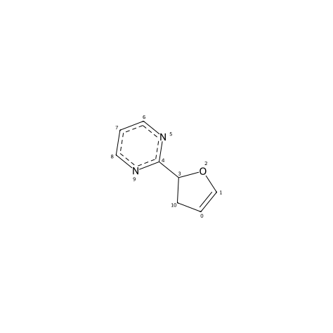 C1=COC(c2ncccn2)C1